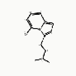 CN(C)CCc1ccc2cccc(O)n12